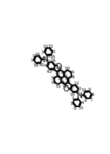 c1ccc(N(c2ccccc2)c2ccc3c(c2)oc2c4c5c(c6c(oc7cc(N(c8ccccc8)c8ccccc8)ccc76)c6c5c(c23)CCC6)CCC4)cc1